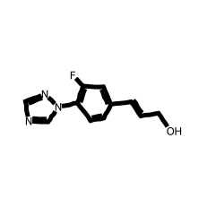 OC/C=C/c1ccc(-n2cncn2)c(F)c1